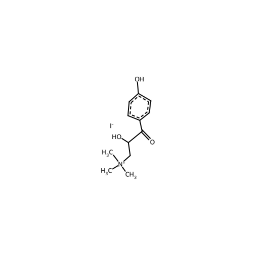 C[N+](C)(C)CC(O)C(=O)c1ccc(O)cc1.[I-]